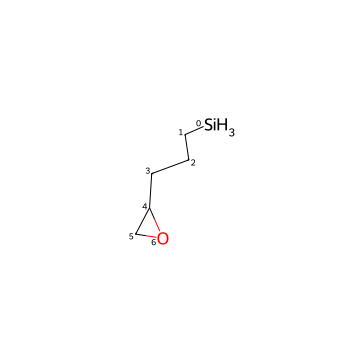 [SiH3]CCCC1CO1